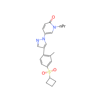 CCCn1cc(-n2cc(-c3ccc(S(=O)(=O)C4CCC4)cc3C)cn2)ccc1=O